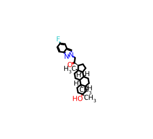 C[C@@]1(O)CC[C@@]2(C)[C@H](CC[C@@H]3[C@@H]2CC[C@]2(C)[C@@H](C(=O)Cn4cc5cc(F)ccc5n4)CC[C@@H]32)C1